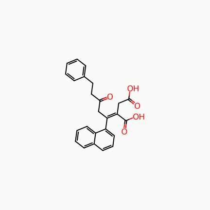 O=C(O)CC(C(=O)O)=C(CC(=O)CCc1ccccc1)c1cccc2ccccc12